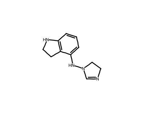 C1=NCCN1Nc1cccc2c1CCN2